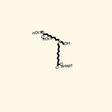 CCCCCCCCOC(CCCCCCCN(CCO)CCCCCCCCCC(=O)OCCCCCCC)OCCCCCCCC